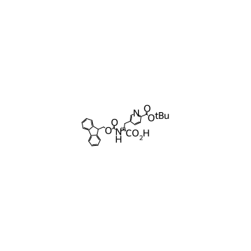 CC(C)(C)OC(=O)c1ccc(C[C@H](NC(=O)OCC2c3ccccc3-c3ccccc32)C(=O)O)cn1